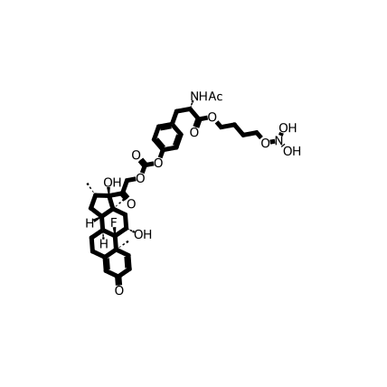 CC(=O)N[C@@H](Cc1ccc(OC(=O)OCC(=O)[C@@]2(O)[C@@H](C)C[C@H]3[C@@H]4CCC5=CC(=O)C=C[C@]5(C)[C@@]4(F)[C@@H](O)C[C@@]32C)cc1)C(=O)OCCCCON(O)O